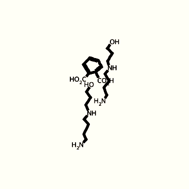 NCCCCNCCCO.NCCCCNCCCO.O=C(O)c1ccccc1C(=O)O